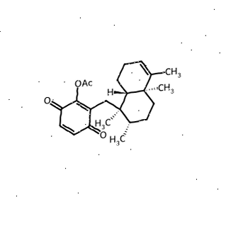 CC(=O)OC1=C(C[C@]2(C)[C@@H](C)CC[C@]3(C)C(C)=CCC[C@@H]23)C(=O)C=CC1=O